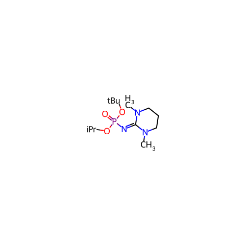 CC(C)OP(=O)(N=C1N(C)CCCN1C)OC(C)(C)C